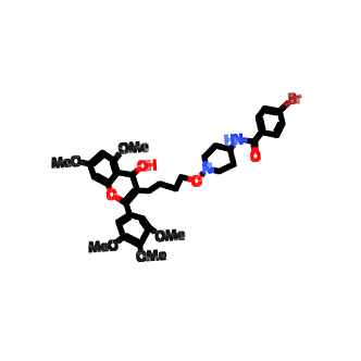 COc1cc(OC)c2c(c1)OC(c1cc(OC)c(OC)c(OC)c1)=C(CCCCON1CCC(NC(=O)c3ccc(Br)cc3)CC1)C2O